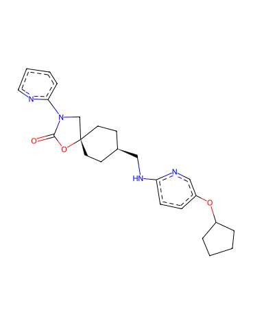 O=C1O[C@]2(CC[C@H](CNc3ccc(OC4CCCC4)cn3)CC2)CN1c1ccccn1